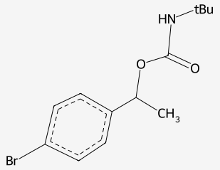 CC(OC(=O)NC(C)(C)C)c1ccc(Br)cc1